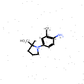 CC1(C(=O)O)CCCN1c1ccc(N)c(C(F)(F)F)c1